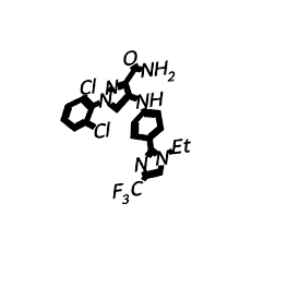 CCn1cc(C(F)(F)F)nc1-c1ccc(Nc2cn(-c3c(Cl)cccc3Cl)nc2C(N)=O)cc1